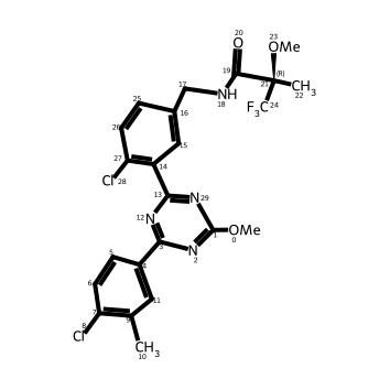 COc1nc(-c2ccc(Cl)c(C)c2)nc(-c2cc(CNC(=O)[C@@](C)(OC)C(F)(F)F)ccc2Cl)n1